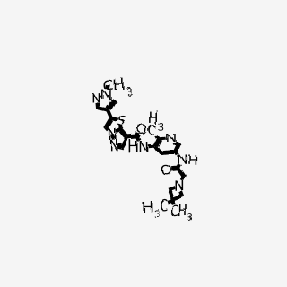 Cc1ncc(NC(=O)CN2CC(C)(C)C2)cc1NC(=O)c1cnn2cc(-c3cnn(C)c3)sc12